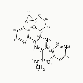 C=NC(=O)c1nc(-c2ccccc2)c(C2CCCC3(CC3)O2)nc1-c1cccnc1